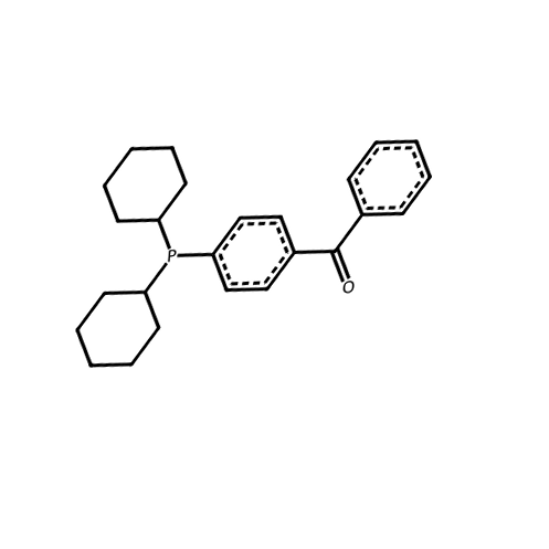 O=C(c1ccccc1)c1ccc(P(C2CCCCC2)C2CCCCC2)cc1